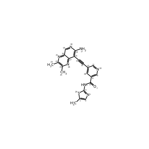 Cc1cnc(NC(=O)c2cncc(C#Cc3c(N)ncc4nc(C)c(C)nc34)c2)s1